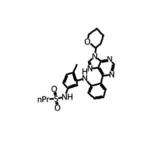 CCCS(=O)(=O)Nc1ccc(C)c(Nc2ccccc2-c2ncnc3c2ncn3C2CCCCO2)c1